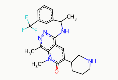 Cc1nnc(NC(C)c2cccc(C(F)(F)F)c2)c2cc(C3CCCNC3)c(=O)n(C)c12